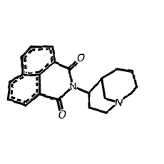 O=C1c2cccc3cccc(c23)C(=O)N1C1CCN2CCCC1C2